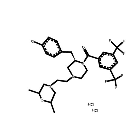 CC1CN(CCN2CCN(C(=O)c3cc(C(F)(F)F)cc(C(F)(F)F)c3)[C@H](Cc3ccc(Cl)cc3)C2)CC(C)O1.Cl.Cl